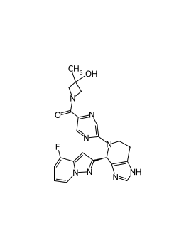 CC1(O)CN(C(=O)c2cnc(N3CCc4[nH]cnc4[C@H]3c3cc4c(F)cccn4n3)cn2)C1